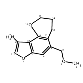 COCc1cc2onc(N)c2c2c1CCCO2